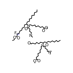 CCCCCCCCCC(CCCCC/C=C(\F)C(=O)OCC)N(CCCCCCCC(=O)OC)C(=O)CCCN(C)C.CCCCCCCCCC(CCCCCC=O)N(CCCCCCCC(=O)OC)C(=O)CCCN(C)C